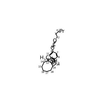 CC(C)CCOCOc1ccc2c(c1)[C@@]1(C)CCCCCC(C2)[C@@H]1N